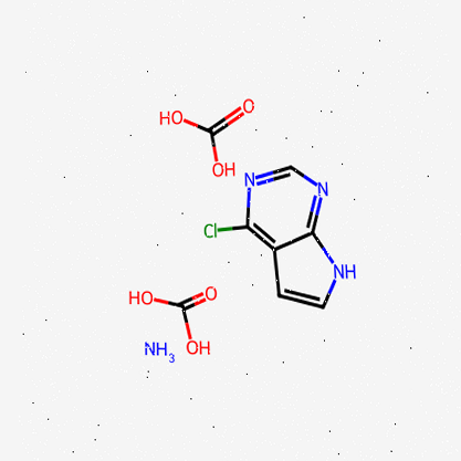 Clc1ncnc2[nH]ccc12.N.O=C(O)O.O=C(O)O